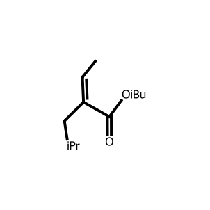 CC=C(CC(C)C)C(=O)OCC(C)C